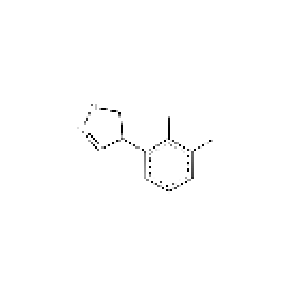 Oc1c(F)cccc1C1C=N[N]C1